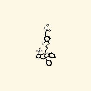 COC(=O)Cc1ccc(OCCCNCC(Cc2cccc(C(F)(F)F)c2Cl)(c2ccccc2)c2ccccc2)c(Cl)c1